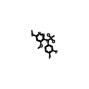 COc1cc(SC)nnc1N(c1ccc(F)c(F)c1)S(C)(=O)=O